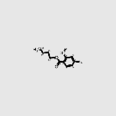 COc1cc(I)ccc1C(=O)OCCC[SiH3]